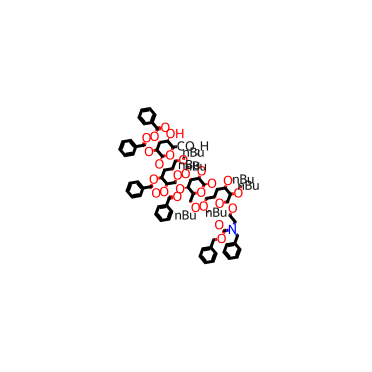 CCCCOCC1O[C@@H](O[C@@H]2C(COCCCC)O[C@H](O[C@H]3C(COCCCC)O[C@H](OCCN(Cc4ccccc4)C(=O)OCc4ccccc4)C(OCCCC)C3OCCCC)C(OCCCC)C2OCCCC)C(OC(=O)c2ccccc2)C(OC(=O)c2ccccc2)[C@@H]1O[C@@H]1OC(C(=O)O)[C@@H](O)C(OC(=O)c2ccccc2)C1OC(=O)c1ccccc1